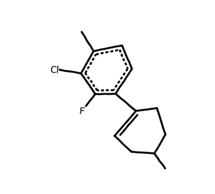 Cc1ccc(C2=CCC(C)CC2)c(F)c1Cl